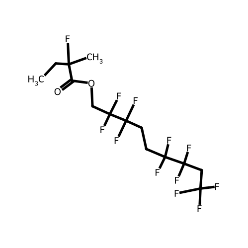 CCC(C)(F)C(=O)OCC(F)(F)C(F)(F)CCC(F)(F)C(F)(F)CC(F)(F)F